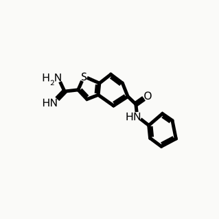 N=C(N)c1cc2cc(C(=O)Nc3ccccc3)ccc2s1